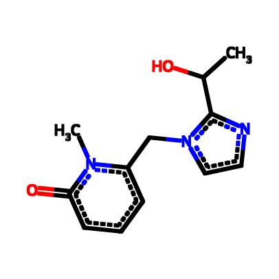 CC(O)c1nccn1Cc1cccc(=O)n1C